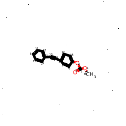 COC(=O)Oc1ccc(C#Cc2ccccc2)cc1